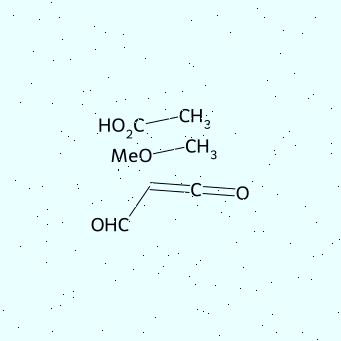 CC(=O)O.COC.O=C=CC=O